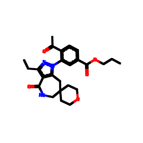 CCCOC(=O)c1ccc(C(C)=O)c(-n2nc(CC)c3c2CC2(CCOCC2)CNC3=O)c1